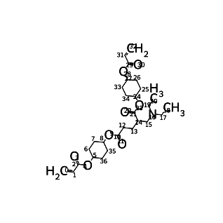 C=CC(=O)OC1CCC(OC(=O)CCC(CN(CC)CC)C(=O)OC2CCC(OC(=O)C=C)CC2)CC1